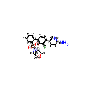 Nc1ccc(-c2ccc(-c3ccccc3S(=O)(=O)N3CC4CC3CO4)cc2F)cn1